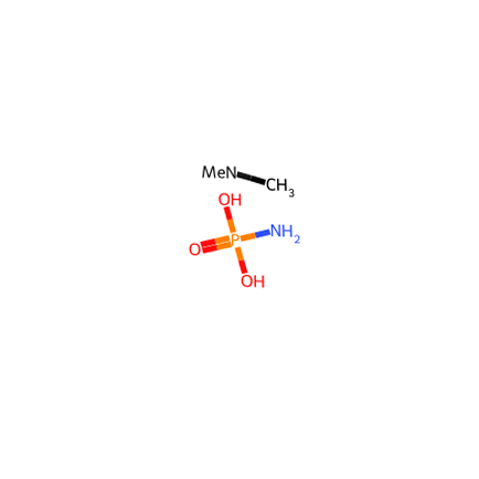 CNC.NP(=O)(O)O